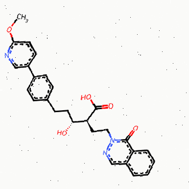 COc1ccc(-c2ccc(CC[C@@H](O)[C@H](CCn3ncc4ccccc4c3=O)C(=O)O)cc2)cn1